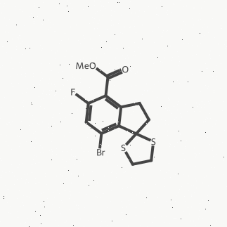 COC(=O)c1c(F)cc(Br)c2c1CCC21SCCS1